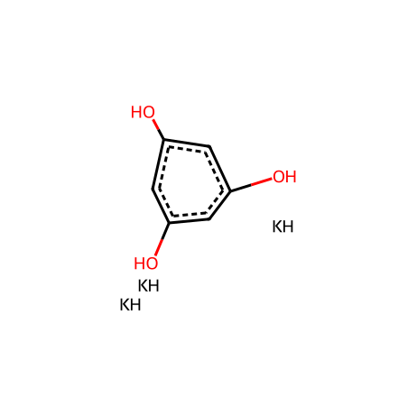 Oc1cc(O)cc(O)c1.[KH].[KH].[KH]